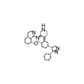 Cc1cccc2ccnc(N(C(=O)c3ccc(-c4cnn(C)c4-c4ccccc4)cc3F)[C@@H]3CCCNC3)c12